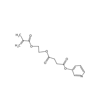 C=C(C)C(=O)OCCOC(=O)CCC(=O)Oc1cccnc1